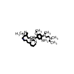 CCc1cnn(C)c1/C=C\CCC1=NC(Nc2cc(N)c(N(C)CCN(C)CC)cc2OC)=NCC=C1